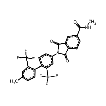 CNC(=O)c1ccc2c(c1)C(=O)N(c1ccc(-c3ccc(C)cc3C(F)(F)F)c(C(F)(F)F)c1)C2=O